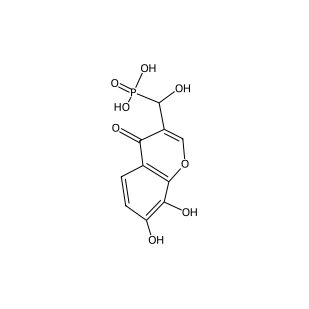 O=c1c(C(O)P(=O)(O)O)coc2c(O)c(O)ccc12